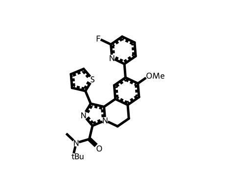 COc1cc2c(cc1-c1cccc(F)n1)-c1c(-c3cccs3)nc(C(=O)N(C)C(C)(C)C)n1CC2